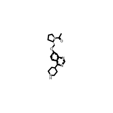 CC(=O)N1CCC[C@H]1COc1ccc2c(C3CCNCC3)ncnc2c1